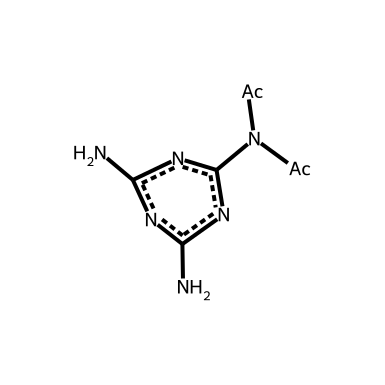 CC(=O)N(C(C)=O)c1nc(N)nc(N)n1